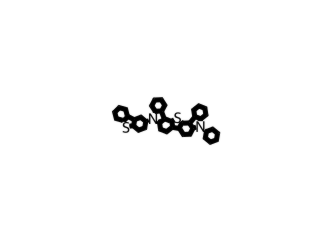 c1ccc(-n2c3ccccc3c3c4sc5c(ccc6c5c5ccccc5n6-c5ccc6sc7ccccc7c6c5)c4ccc32)cc1